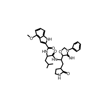 COc1cccc2[nH]c(C(=O)NC(CC(C)C)C(=O)NC(CC3CCNC3=O)C3OCN(c4ccccc4)C3=N)cc12